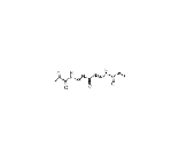 C=C(C)C(=O)NC=NC(=O)N=CNC(=O)C(=C)C